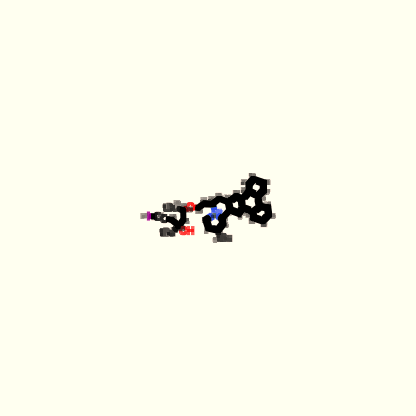 CC(C)(C)c1cc[n+]2c(c1)-c1cc3c4ccccc4c4ccccc4c3cc1C/C2=C/COC(CC(O)(CCCI)C(C)(C)C)C(C)(C)C